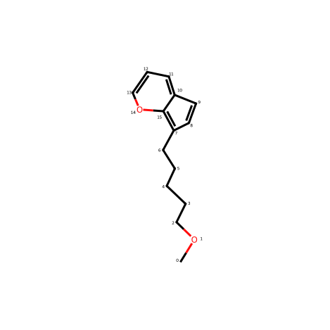 COCCCCCc1ccc2cccoc1-2